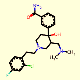 CN(C)CC1CN(CCc2ccc(F)cc2Cl)CCC1(O)c1cccc(C(N)=O)c1